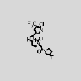 O=C(Cn1ccc2ncc(-c3cnc(Cl)c(C(F)(F)F)c3)n2c1=O)N1CCC(F)C1